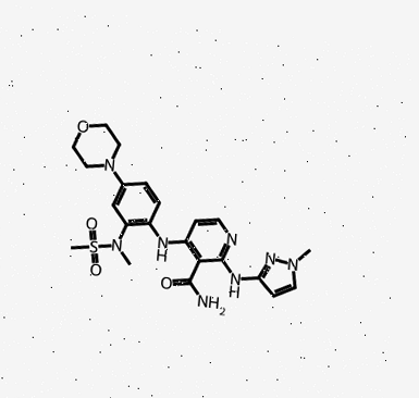 CN(c1cc(N2CCOCC2)ccc1Nc1ccnc(Nc2ccn(C)n2)c1C(N)=O)S(C)(=O)=O